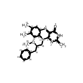 C=c1nc2c(c(=O)[nH]1)=Nc1cc(C)c(C)cc1N2CC(Cc1ccccc1)OC